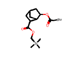 CCC(C)C(=O)OC1CC2CC(C(=O)OC[Si](C)(C)C)C1C2